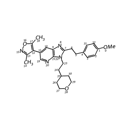 COc1ccc(CCc2nc3cc(-c4c(C)noc4C)cnc3n2CCC2CCOCC2)cc1